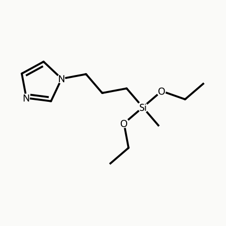 CCO[Si](C)(CCCn1ccnc1)OCC